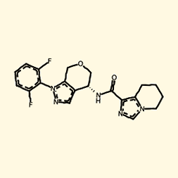 O=C(N[C@H]1COCc2c1cnn2-c1c(F)cccc1F)c1ncn2c1CCCC2